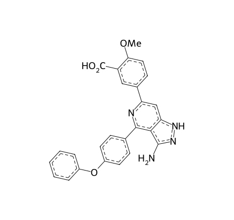 COc1ccc(-c2cc3[nH]nc(N)c3c(-c3ccc(Oc4ccccc4)cc3)n2)cc1C(=O)O